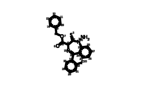 NN1C(=S)C(C(=O)OCc2ccccc2)N=C(c2ccccc2F)c2ccccc21